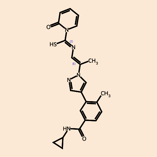 C/C(=C\N=C(/S)n1ccccc1=O)n1cc(-c2cc(C(=O)NC3CC3)ccc2C)cn1